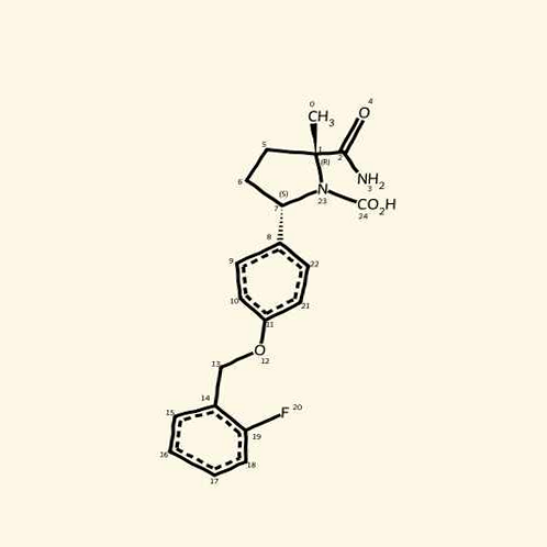 C[C@]1(C(N)=O)CC[C@@H](c2ccc(OCc3ccccc3F)cc2)N1C(=O)O